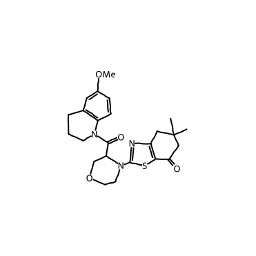 COc1ccc2c(c1)CCCN2C(=O)C1COCCN1c1nc2c(s1)C(=O)CC(C)(C)C2